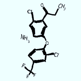 CCC(=O)c1cc(Oc2ccc(C(F)(F)F)cc2Cl)ccc1Cl.N